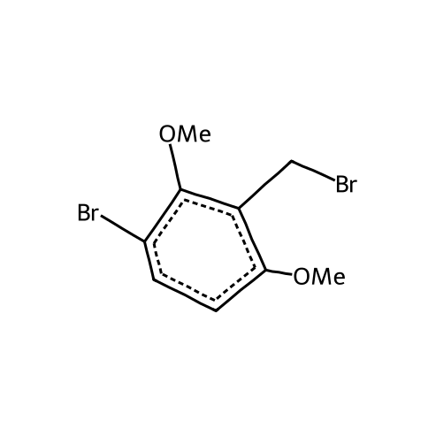 COc1ccc(Br)c(OC)c1CBr